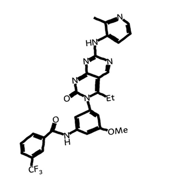 CCc1c2cnc(Nc3cccnc3C)nc2nc(=O)n1-c1cc(NC(=O)c2cccc(C(F)(F)F)c2)cc(OC)c1